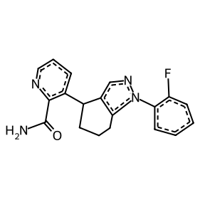 NC(=O)c1ncccc1C1CCCc2c1cnn2-c1ccccc1F